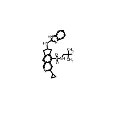 CC(C)(F)CNS(=O)(=O)c1c2c(cc3cnc(C4CC4)cc13)CC(Nc1nc3ccccc3[nH]1)C2